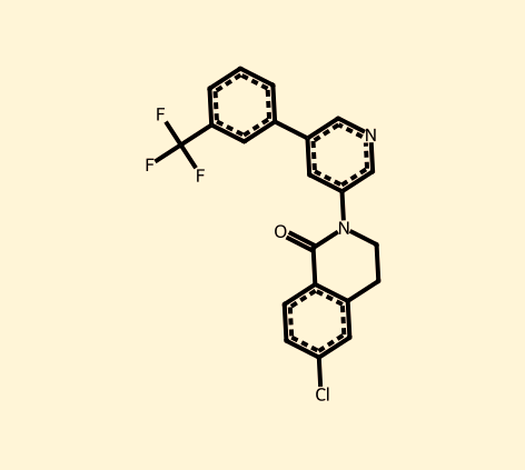 O=C1c2ccc(Cl)cc2CCN1c1cncc(-c2cccc(C(F)(F)F)c2)c1